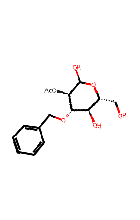 CC(=O)O[C@H]1C(O)O[C@H](CO)[C@@H](O)[C@@H]1OCc1ccccc1